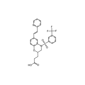 O=C(O)CCC1CN(S(=O)(=O)c2cccc(C(F)(F)F)c2)c2cc(C=Cc3ccccn3)ccc2O1